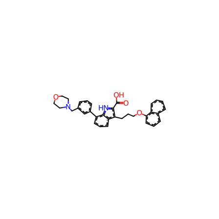 O=C(O)c1[nH]c2c(-c3cccc(CN4CCOCC4)c3)cccc2c1CCCOc1cccc2ccccc12